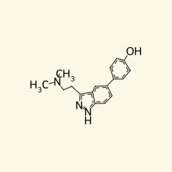 CN(C)CCc1n[nH]c2ccc(-c3ccc(O)cc3)cc12